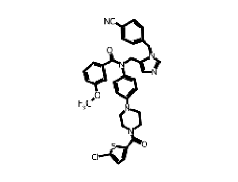 N#Cc1ccc(Cn2cncc2CN(C(=O)c2cccc(OC(F)(F)F)c2)c2ccc(N3CCN(C(=O)c4ccc(Cl)s4)CC3)cc2)cc1